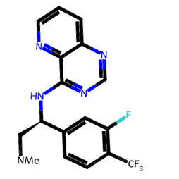 CNC[C@@H](Nc1ncnc2cccnc12)c1ccc(C(F)(F)F)c(F)c1